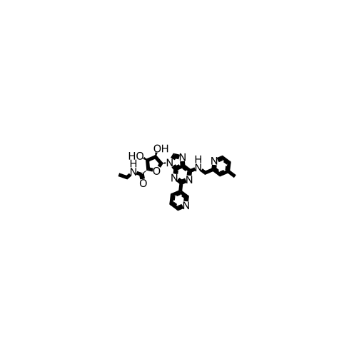 CCNC(=O)[C@H]1O[C@@H](n2cnc3c(NCc4cc(C)ccn4)nc(-c4cccnc4)nc32)[C@H](O)[C@@H]1O